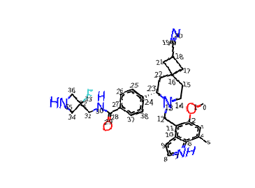 COc1cc(C)c2[nH]ccc2c1CN1CCC2(CC(C#N)C2)C[C@H]1c1ccc(C(=O)NCC2(F)CNC2)cc1